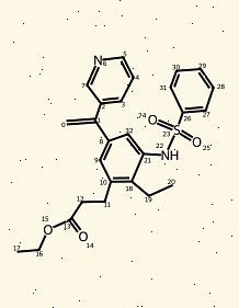 C=C(c1cccnc1)c1cc(CCC(=O)OCC)c(CC)c(NS(=O)(=O)c2ccccc2)c1